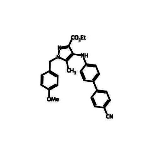 CCOC(=O)c1nn(Cc2ccc(OC)cc2)c(C)c1Nc1ccc(-c2ccc(C#N)cc2)cc1